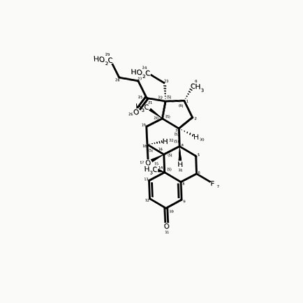 C[C@@H]1C[C@H]2[C@@H]3CC(F)C4=CC(=O)C=C[C@]4(C)[C@@]34O[C@H]4C[C@]2(C)[C@@]1(CC(=O)O)C(=O)CCC(=O)O